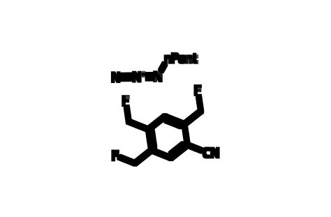 CCCCCN=[N+]=[N-].N#Cc1cc(CF)c(CF)cc1CF